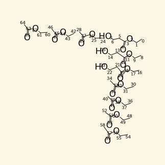 CCOC(=O)CCO.CCOC(=O)CCO.CCOC(=O)CCO.CCOC(C)=O.CCOC(C)=O.CCOC(C)=O.CCOC(C)=O.CCOC(C)=O.CCOC(C)=O.CCOC(C)=O